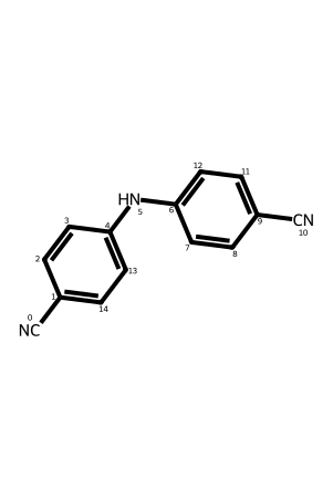 N#Cc1ccc(Nc2ccc(C#N)cc2)cc1